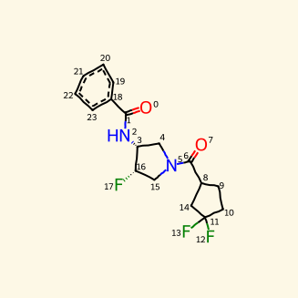 O=C(N[C@@H]1CN(C(=O)C2CCC(F)(F)C2)C[C@@H]1F)c1ccccc1